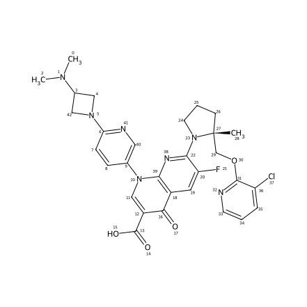 CN(C)C1CN(c2ccc(-n3cc(C(=O)O)c(=O)c4cc(F)c(N5CCC[C@]5(C)COc5ncccc5Cl)nc43)cn2)C1